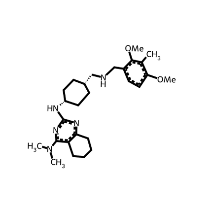 COc1ccc(CNC[C@H]2CC[C@@H](Nc3nc4c(c(N(C)C)n3)CCCC4)CC2)c(OC)c1C